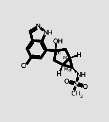 CS(=O)(=O)N[C@H]1[C@@H]2C[C@](O)(c3cc(Cl)cc4cn[nH]c34)C[C@@H]21